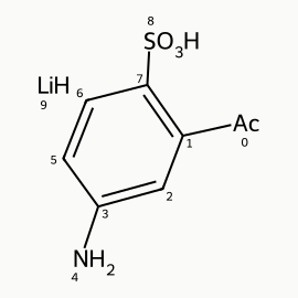 CC(=O)c1cc(N)ccc1S(=O)(=O)O.[LiH]